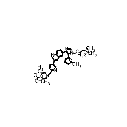 Cc1cccc(-c2c(-c3ccc4ncc(-c5ccc(CN6C[C@@H](C)N(C(=O)O)[C@@H](C)C6)nc5)cc4c3)ncn2COCC[Si](C)(C)C)n1